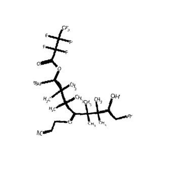 CC(C)CC(O)C(C)(C)C(C)(C)C(OCCC#N)C(C)(C)C(C)(C)C(OC(=O)C(F)(F)C(F)(F)C(F)(F)F)C(C)(C)C